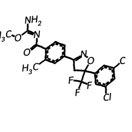 COC(N)=NC(=O)c1ccc(C2=NOC(c3cc(Cl)cc(Cl)c3)(C(F)(F)F)C2)cc1C